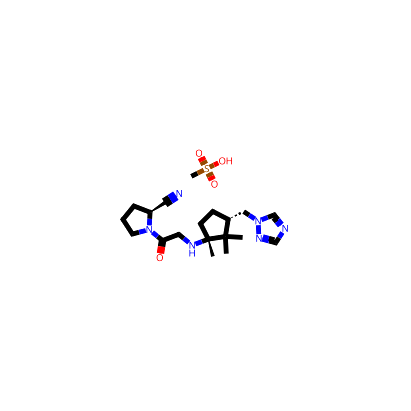 CC1(C)[C@@H](Cn2cncn2)CC[C@@]1(C)NCC(=O)N1CCC[C@H]1C#N.CS(=O)(=O)O